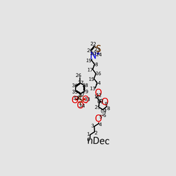 CCCCCCCCCCCCCCOC[C@H]1CO[C@H](COCCCCCCC[n+]2ccsc2)C1.Cc1ccc(S(=O)(=O)[O-])cc1